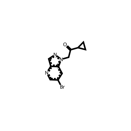 O=C(Cn1ncc2ncc(Br)cc21)C1CC1